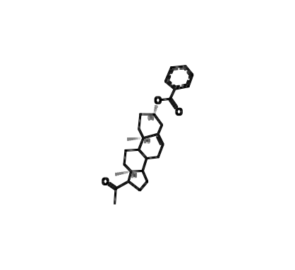 CC(=O)C1CCC2C3CC=C4C[C@@H](OC(=O)c5ccccc5)CC[C@]4(C)C3CC[C@]12C